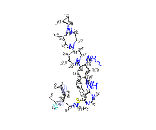 C/C=C\C(=C(/C)F)C(C)N(CCC)SC1=CC(NC2=CC(N)C(N3CCCC(N4CCN(C5CC5)C(C)C4)CC3)C=C2CC)N(C)C=N1